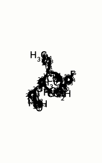 Cc1c2ccc(c1Cl)CN(CCN1CCN(C)CC1)Cc1ccc(OCc3ccnc(N4C[C@@H]5C[C@H]4CO5)n3)c(c1)C[C@H](C(=O)O)Oc1ncnc3sc(-c4ccc(F)cc4)c-2c13